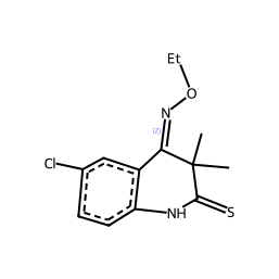 CCO/N=C1/c2cc(Cl)ccc2NC(=S)C1(C)C